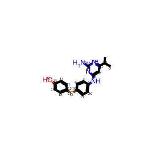 CC(C)c1cc(Nc2ccc(Sc3ccc(O)cc3)cc2)nc(N)n1